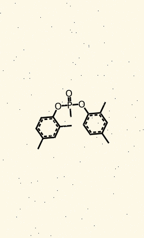 Cc1ccc(OP(C)(=O)Oc2ccc(C)cc2C)c(C)c1